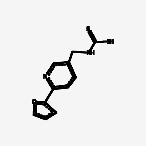 S=C(S)NCc1ccc(-c2ccco2)nc1